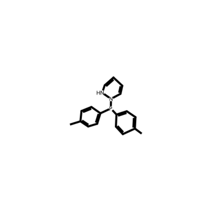 Cc1ccc(P(c2ccc(C)cc2)N2C=CC=CN2)cc1